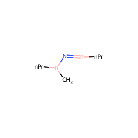 CCCB=NB(C)CCC